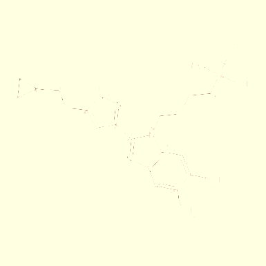 Cc1cc2nc(-c3cc(SCC4CC4)[nH]n3)n(COCC[Si](C)(C)C)c2cc1C